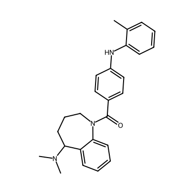 Cc1ccccc1Nc1ccc(C(=O)N2CCCC(N(C)C)c3ccccc32)cc1